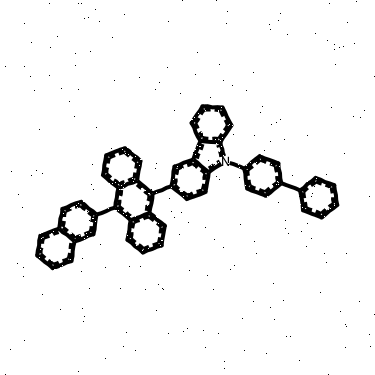 c1ccc(-c2ccc(-n3c4ccccc4c4cc(-c5c6ccccc6c(-c6ccc7ccccc7c6)c6ccccc56)ccc43)cc2)cc1